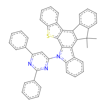 CC1(C)c2ccccc2-c2c1c1c3ccccc3n(-c3cc(-c4ccccc4)nc(-c4ccccc4)n3)c1c1sc3ccccc3c21